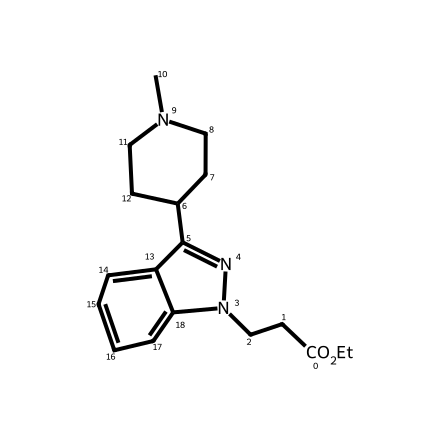 CCOC(=O)CCn1nc(C2CCN(C)CC2)c2ccccc21